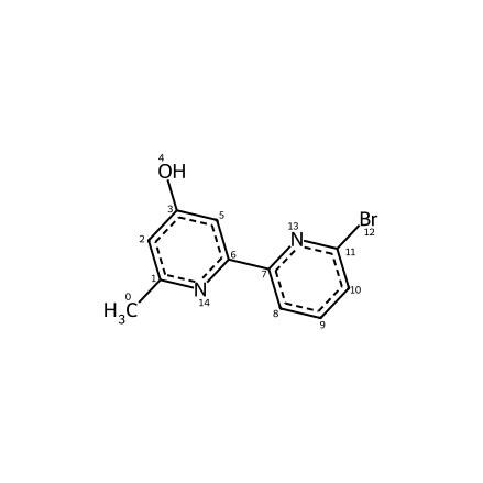 Cc1cc(O)cc(-c2cccc(Br)n2)n1